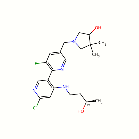 C[C@@H](O)CCNc1cc(Cl)ncc1-c1ncc(CN2CC(O)C(C)(C)C2)cc1F